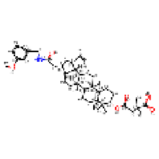 C=C(C)[C@@H]1C[C@@H](CC(=O)NCc2cccc(OC)c2)C2CC[C@]3(C)[C@H](CC[C@@H]4[C@@]5(C)CC[C@H](OC(=O)CC(C)(C)C(=O)O)C(C)(C)[C@@H]5CC[C@]43C)[C@H]21